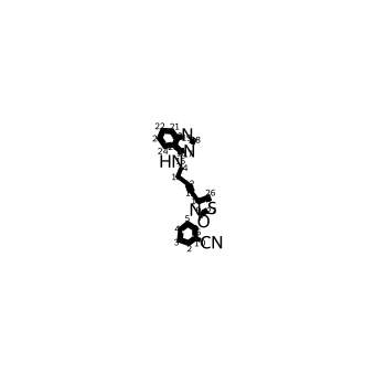 N#Cc1ccccc1Oc1nc(C#CCCNc2ncnc3ccccc23)cs1